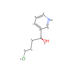 O[C@@H](CCCCl)c1cccnc1